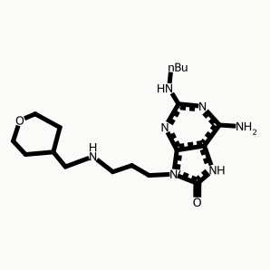 CCCCNc1nc(N)c2[nH]c(=O)n(CCCNCC3CCOCC3)c2n1